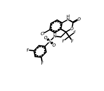 O=C1Nc2ccc(Cl)cc2C(CNS(=O)(=O)c2cc(F)cc(F)c2)(C(F)(F)F)O1